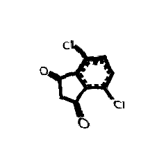 O=C1CC(=O)c2c(Cl)ccc(Cl)c21